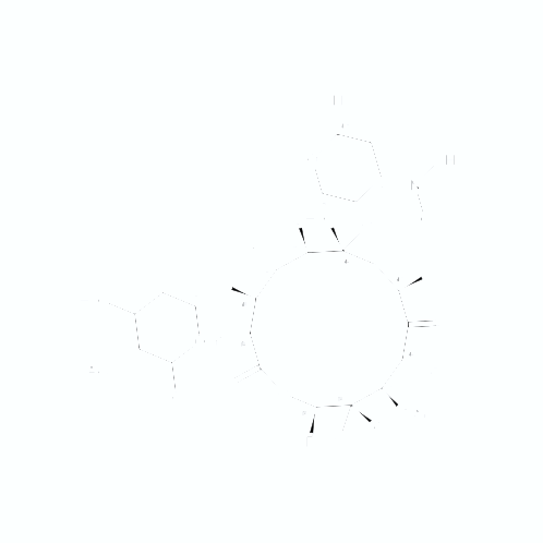 CC[C@H]1OC(=O)[C@H](C)[C@@H](O[C@H]2CC(C)[C@@H](OC(C)=O)C(C)O2)[C@H](I)[C@@H](O[C@H]2C[C@@H](N(C)C)C[C@@H](C)O2)[C@](C)(O)C[C@@H](C)C(=O)[C@H](C)[C@@H](OC(C)=O)[C@]1(C)O